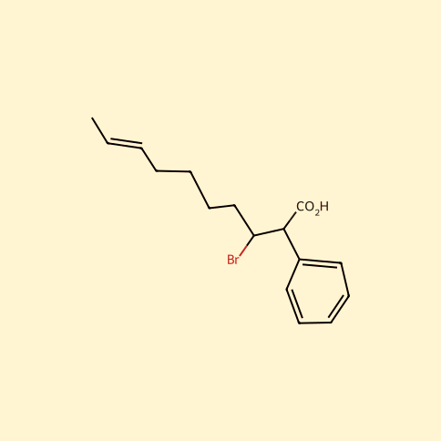 CC=CCCCCC(Br)C(C(=O)O)c1ccccc1